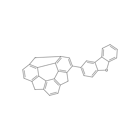 c1ccc2c(c1)oc1ccc(-c3cc4c5c6c(ccc7c6c6c(ccc8c6c5c3C8)C7)C4)cc12